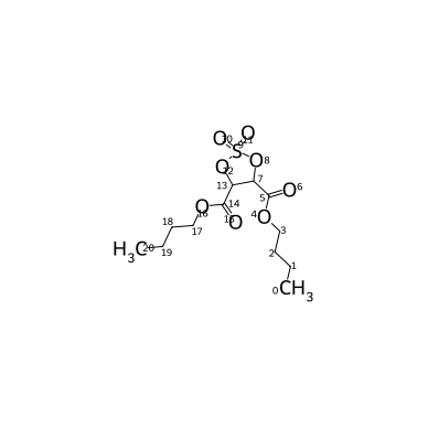 CCCCOC(=O)C1OS(=O)(=O)OC1C(=O)OCCCC